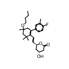 CCCCOC1(C)CC(c2ccc(F)c(C)c2)=C(/C=C/[C@@H]2C[C@@H](O)CC(=O)O2)C(C)(C)C1